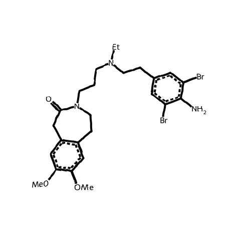 CCN(CCCN1CCc2cc(OC)c(OC)cc2CC1=O)CCc1cc(Br)c(N)c(Br)c1